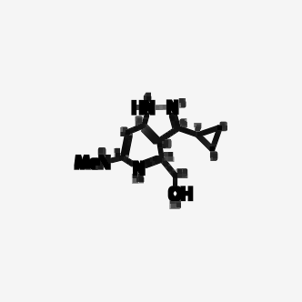 CNc1cc2[nH]nc(C3CC3)c2c(CO)n1